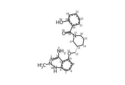 CN1N=C(N)c2c(cccc2OC[C@H]2CCCN(C(=O)c3ccccc3O)C2)N1